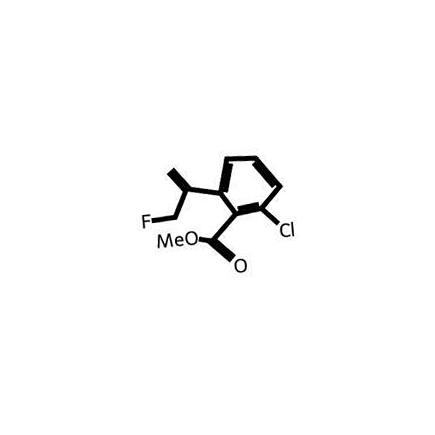 C=C(CF)c1cccc(Cl)c1C(=O)OC